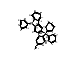 CCc1ccc(S(C2=CC=CCC2)(c2ccccc2)c2ccc3c(c2)c2ccccc2n3-c2ccccc2)cc1